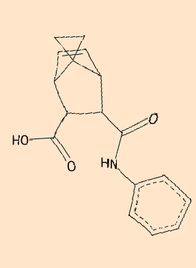 O=C(O)C1C(C(=O)Nc2ccccc2)C2C=CC1C21CC1